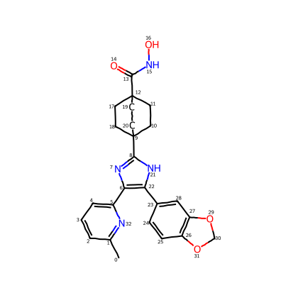 Cc1cccc(-c2nc(C34CCC(C(=O)NO)(CC3)CC4)[nH]c2-c2ccc3c(c2)OCO3)n1